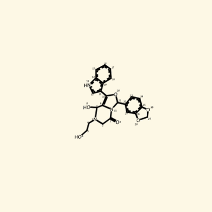 O=C1CN(CCO)C(O)C2=C(c3c[nH]c4ccccc34)OC(c3ccc4c(c3)OCO4)N12